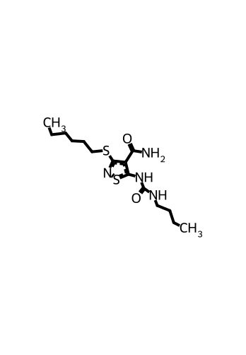 CCCCCCSc1nsc(NC(=O)NCCCC)c1C(N)=O